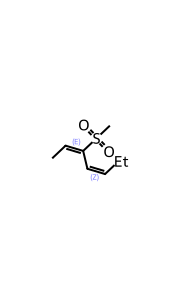 C/C=C(\C=C/CC)S(C)(=O)=O